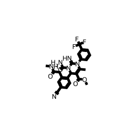 CNC(=O)Cc1cc(C#N)ccc1C1C(C(=O)OC)=C(C)N(c2cccc(C(F)(F)F)c2)C(=N)N1C(N)=O